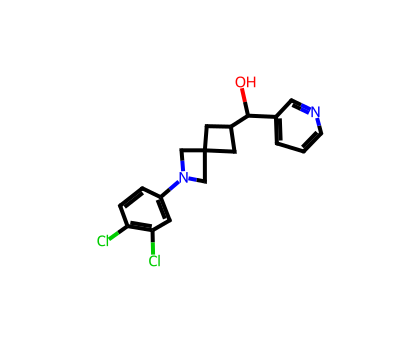 OC(c1cccnc1)C1CC2(C1)CN(c1ccc(Cl)c(Cl)c1)C2